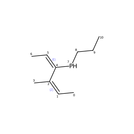 C/C=C(C)\C(=C/C)PCCC